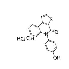 Cl.Cl.O=c1c2sccc2c2ccccc2n1-c1ccc(O)cc1